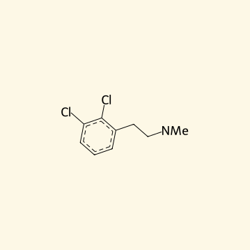 CNCCc1cccc(Cl)c1Cl